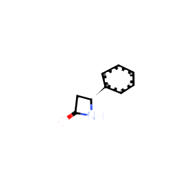 O=C1C[C@@H](c2ccccc2)N1